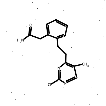 Cc1cnc(Cl)nc1CCc1ccccc1CC(N)=O